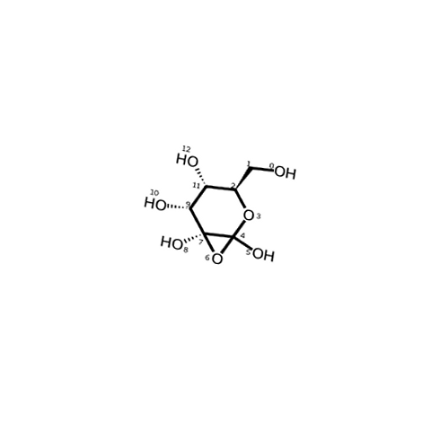 OC[C@H]1OC2(O)O[C@@]2(O)[C@H](O)[C@@H]1O